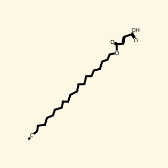 CCCCCCCCCCCCCCCCCCCCCCOC(=O)C=CC(=O)O